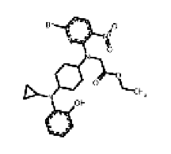 CCOC(=O)CN(c1nc(Br)ccc1[N+](=O)[O-])C1CCC(N(c2ccccc2O)C2CC2)CC1